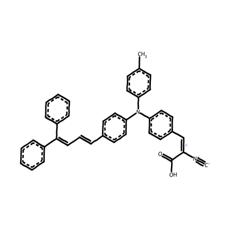 [C-]#[N+]/C(=C/c1ccc(N(c2ccc(C)cc2)c2ccc(C=CC=C(c3ccccc3)c3ccccc3)cc2)cc1)C(=O)O